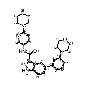 O=C(Nc1ccc(N2CCOCC2)nc1)c1n[nH]c2ccc(-c3cncc(N4CCOCC4)c3)cc12